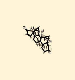 CC[C@]12CC[C@H]3[C@@H]([C@H]4C[C@H]4C4=CC(=O)CC[C@@H]43)[C@@H]1[C@@H]1C[C@@H]1[C@@]21C=CC(=O)O1